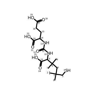 CC(I)(CS)CC(C)(C)C(NC(=O)NC(CCC(=O)O)C(=O)O)C(=O)O